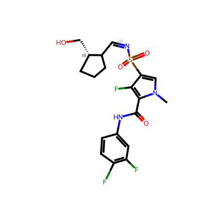 Cn1cc(S(=O)(=O)/N=C\C2CCC[C@@H]2CO)c(F)c1C(=O)Nc1ccc(F)c(F)c1